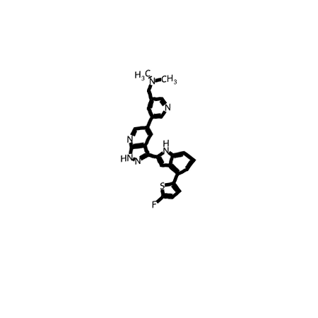 CN(C)Cc1cncc(-c2cnc3[nH]nc(-c4cc5c(-c6ccc(F)s6)cccc5[nH]4)c3c2)c1